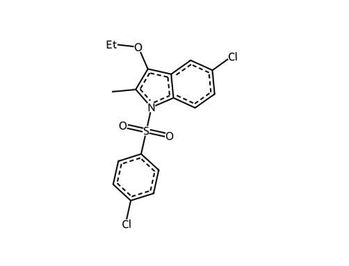 [CH2]COc1c(C)n(S(=O)(=O)c2ccc(Cl)cc2)c2ccc(Cl)cc12